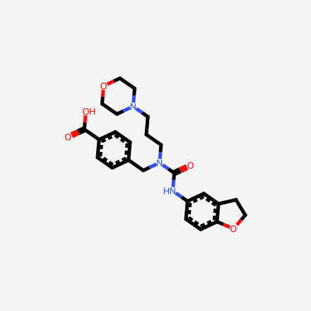 O=C(O)c1ccc(CN(CCCN2CCOCC2)C(=O)Nc2ccc3c(c2)CCO3)cc1